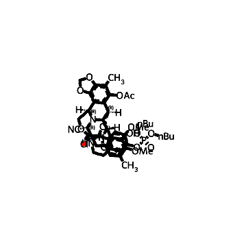 CCCCOP(=O)(OCCCC)Oc1cc2c(cc1OC)[C@@]1(CS[C@@H]3c4c(OC(C)=O)c(C)c5c(c4[C@H](COC1=O)N1C3[C@@H]3c4c(cc(C)c(OC)c4O)C[C@@H]([C@@H]1C#N)N3C)OCO5)NCC2